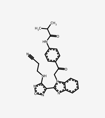 CC(C)C(=O)Nc1ccc(C(=O)Cn2c(-c3nonc3NCCC#N)nc3ccccc32)cc1